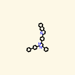 c1ccc(-c2ccc(-c3nc(-c4ccccc4)cc(-c4ccc(-c5ccc6cc7ccccc7cc6n5)cc4)n3)cc2)cc1